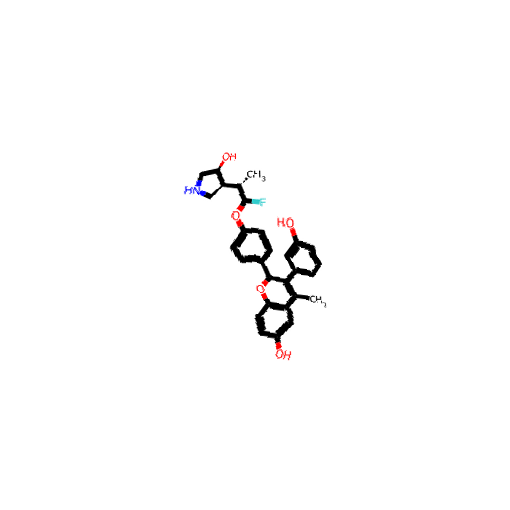 CC1=C(c2cccc(O)c2)C(c2ccc(OC(F)[C@@H](C)[C@H]3CNC[C@H]3O)cc2)Oc2ccc(O)cc21